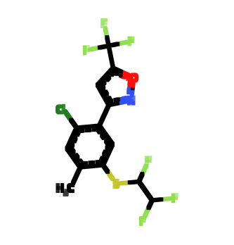 Cc1cc(Cl)c(-c2cc(C(F)(F)F)on2)cc1SC(F)C(F)F